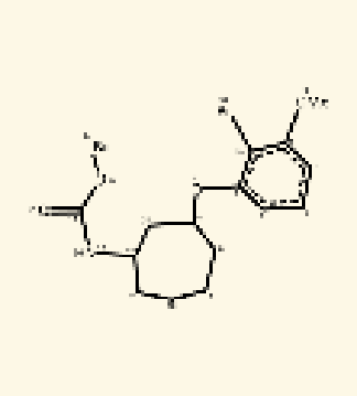 COc1cccc(OC2CCCCC(NC(=O)OC(C)(C)C)C2)c1Br